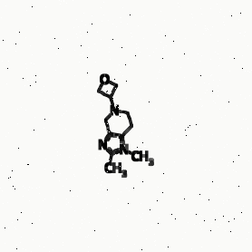 Cc1nc2c(n1C)CCN(C1COC1)C2